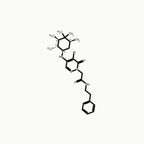 C[C@@H]1[C@@H](C)C(C)(C)[C@@H](C)C[C@H]1Nc1cnn(CC(=O)NCCc2ccccc2)c(=O)c1Br